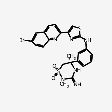 CN1C(=N)N[C@](C)(c2cccc(Nc3nc(-c4ccc5cc(Br)ccc5n4)cs3)c2)CS1(=O)=O